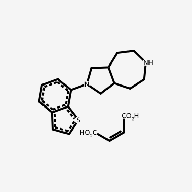 O=C(O)/C=C\C(=O)O.c1cc(N2CC3CCNCCC3C2)c2sccc2c1